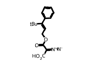 CC(C)(C)C(=CCOC(=O)C(=[N+]=[N-])C(=O)O)c1ccccc1